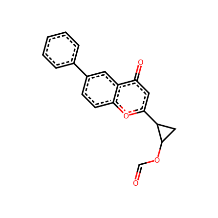 O=COC1CC1c1cc(=O)c2cc(-c3ccccc3)ccc2o1